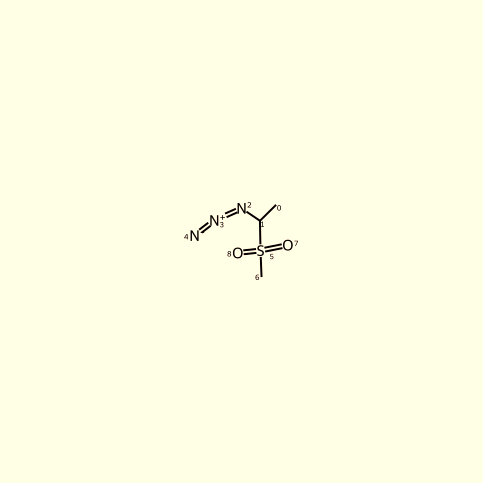 CC(N=[N+]=[N-])S(C)(=O)=O